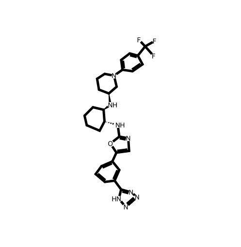 FC(F)(F)c1ccc(N2CCC[C@H](N[C@@H]3CCCC[C@H]3Nc3ncc(-c4cccc(-c5nnn[nH]5)c4)o3)C2)cc1